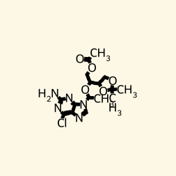 CC(=O)OCC(OC(C)n1cnc2c(Cl)nc(N)nc21)C1COC(C)(C)O1